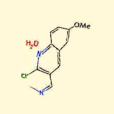 C/N=C\c1cc2cc(OC)ccc2nc1Cl.O